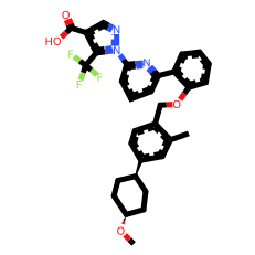 CO[C@H]1CC[C@H](c2ccc(COc3ccccc3-c3cccc(-n4ncc(C(=O)O)c4C(F)(F)F)n3)c(C)c2)CC1